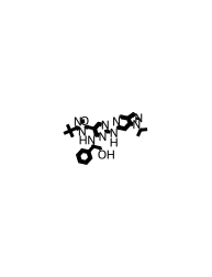 CC(C)n1ncc2cnc(Nc3ncc(-c4nc(C(C)(C)C)no4)c(NC(CO)c4ccccc4)n3)cc21